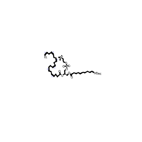 CC/C=C\C/C=C\C/C=C\C/C=C\C/C=C\C/C=C\CCC(=O)O[C@H](COC(=O)CCCCCCCCCCCCCCCCCCC)COP(=O)([O-])OCC[N+](C)(C)C